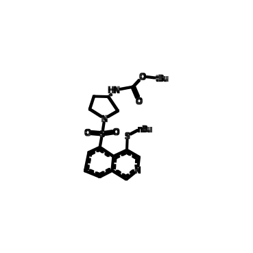 CCCCSc1cncc2cccc(S(=O)(=O)N3CC[C@H](NC(=O)OC(C)(C)C)C3)c12